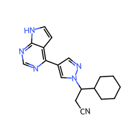 N#CCC(C1CCCCC1)n1cc(-c2ncnc3[nH]ccc23)cn1